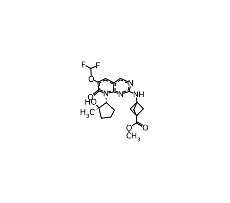 COC(=O)C12CC(Nc3ncc4cc(OC(F)F)c(=O)n([C@@H]5CCC[C@@]5(C)O)c4n3)(C1)C2